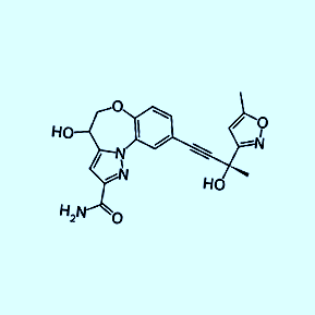 Cc1cc([C@](C)(O)C#Cc2ccc3c(c2)-n2nc(C(N)=O)cc2C(O)CO3)no1